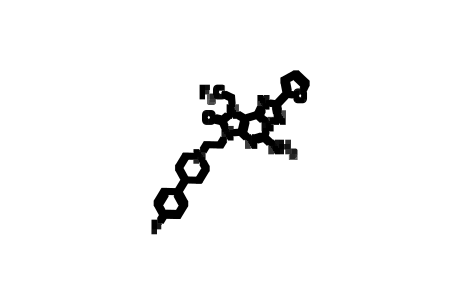 Nc1nc2c(c3nc(-c4ccco4)nn13)n(CC(F)(F)F)c(=O)n2CCN1CCC(c2ccc(F)cc2)CC1